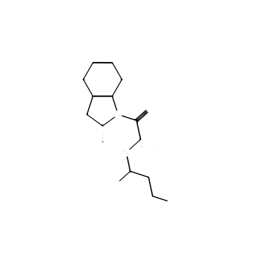 C[C@H](NC(CCC(=O)O)C(=O)O)C(=O)N1C2CCCCC2C[C@H]1C(=O)O